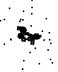 O=C1Nc2cc(F)ccc2C1CCCCN1CCNCC1c1cccc(Cl)c1